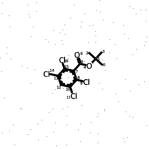 CC(C)(C)OC(=O)c1c(Cl)c(Cl)cc(Cl)c1Cl